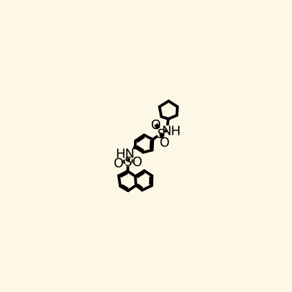 O=S(=O)(NC1CCCCC1)c1ccc(NS(=O)(=O)c2cccc3ccccc23)cc1